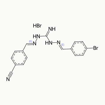 Br.N#Cc1ccc(/C=N/NC(=N)N/N=C/c2ccc(Br)cc2)cc1